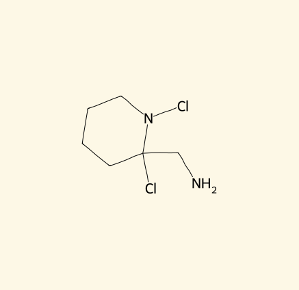 NCC1(Cl)CCCCN1Cl